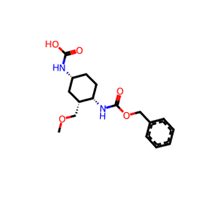 COC[C@@H]1C[C@H](NC(=O)O)CC[C@@H]1NC(=O)OCc1ccccc1